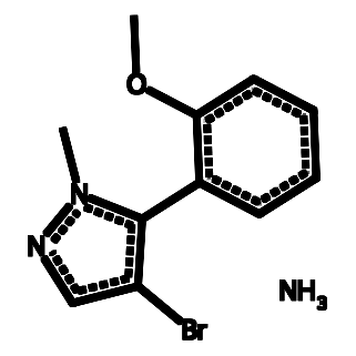 COc1ccccc1-c1c(Br)cnn1C.N